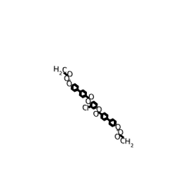 C=CC(=O)OCOc1ccc(-c2ccc(C(=O)Oc3ccc(OC(=O)c4ccc(-c5ccc(OCOC(=O)C=C)cc5)cc4)c(Cl)c3)cc2)cc1